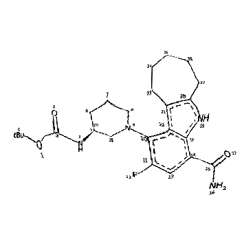 CC(C)(C)OC(=O)N[C@H]1CCCN(c2c(F)cc(C(N)=O)c3[nH]c4c(c23)CCCCC4)C1